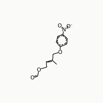 C/C(=C\COC=O)COc1ccc([N+](=O)[O-])cc1